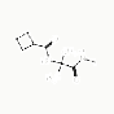 CC(C)(NC(=O)C1CCC1)C(=O)NI